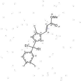 CCC(CC)(c1ccc(C)c(C)c1)c1cc(C)c(/C=C/C(=O)OC)s1